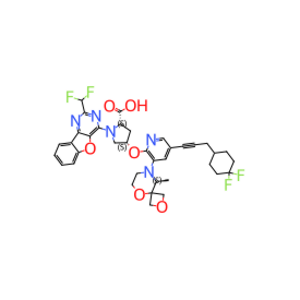 C[C@@H]1N(c2cc(C#CCC3CCC(F)(F)CC3)cnc2O[C@H]2C[C@@H](C(=O)O)N(c3nc(C(F)F)nc4c3oc3ccccc34)C2)CCOC12COC2